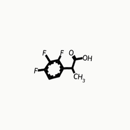 CC(C(=O)O)c1ccc(F)c(F)c1F